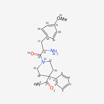 CCCC(=O)C1(c2ccccc2)CCN(C(=O)C(N)Cc2ccc(OC)cc2)CC1